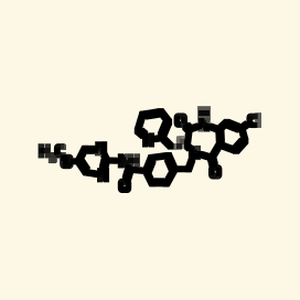 COc1cnc(NC(=O)c2ccc(CN3C(=O)c4ccc(Cl)cc4NC(=O)[C@H]3Cc3ccccn3)cc2)nc1